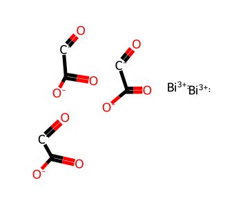 O=[C-]C(=O)[O-].O=[C-]C(=O)[O-].O=[C-]C(=O)[O-].[Bi+3].[Bi+3]